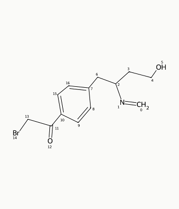 C=NC(CCO)Cc1ccc(C(=O)CBr)cc1